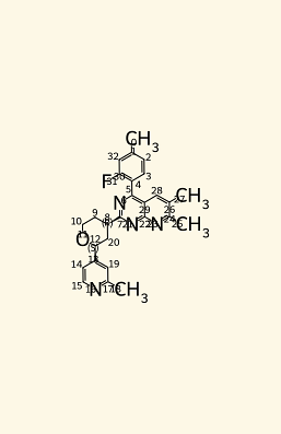 Cc1ccc(-c2nc([C@@H]3CCO[C@H](c4ccnc(C)c4)C3)nc3nc(C)c(C)cc23)c(F)c1